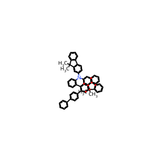 CC1(C)c2ccccc2-c2ccc(N(c3ccc4c(c3)C(C)(C)c3ccccc3-4)c3ccccc3-c3cc(-c4ccccc4)ccc3-c3ccc(-c4ccccc4)cc3)cc21